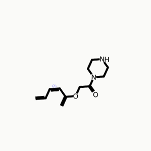 C=C/C=C\C(=C)OCC(=O)N1CCNCC1